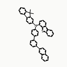 CC1(C)c2ccccc2-c2ccc(N(c3ccc(-c4cccc(-c5ccc6ccccc6c5)c4)cc3)c3cccc4c3sc3ccccc34)cc21